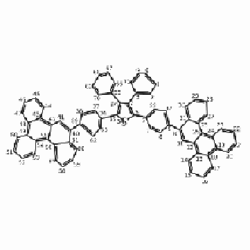 c1ccc(-c2c(-c3ccc(-c4cc5c6ccccc6c6ccccc6c5c5ccccc45)cc3)sc(-c3ccc(-c4cc5c6ccccc6c6ccccc6c5c5ccccc45)cc3)c2-c2ccccc2)cc1